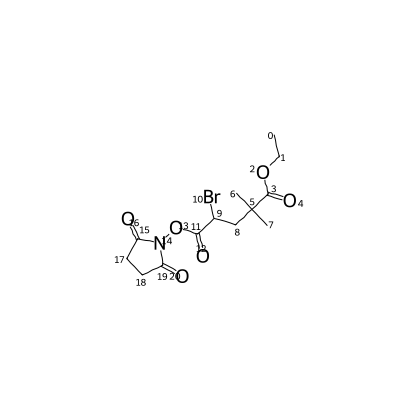 CCOC(=O)C(C)(C)CC(Br)C(=O)ON1C(=O)CCC1=O